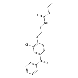 CCOC(=O)NCCOc1ccc(C(=O)c2ccccc2)cc1Cl